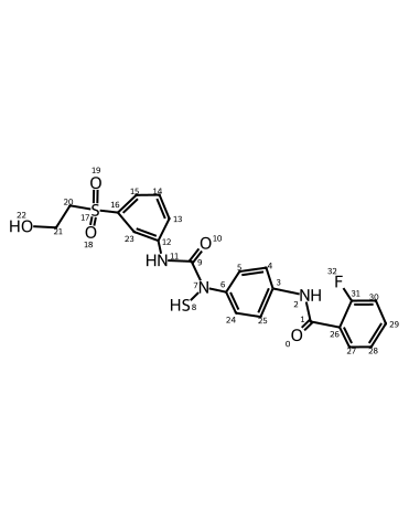 O=C(Nc1ccc(N(S)C(=O)Nc2cccc(S(=O)(=O)CCO)c2)cc1)c1ccccc1F